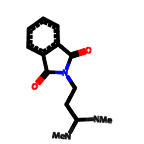 CNC(CCN1C(=O)c2ccccc2C1=O)NC